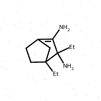 CCC12CCC(=C(N)C1(N)CC)C2